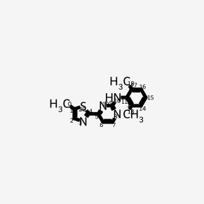 Cc1cnc(-c2ccnc(Nc3c(C)cccc3C)n2)s1